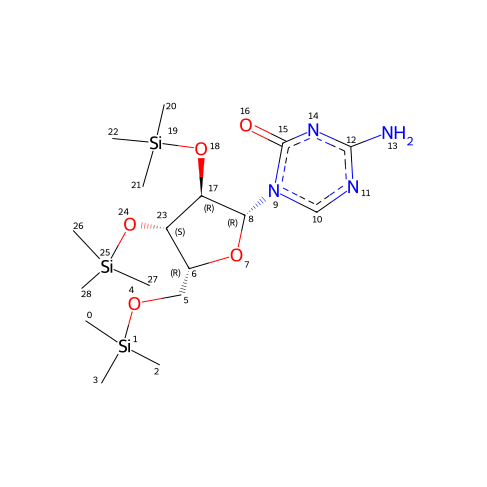 C[Si](C)(C)OC[C@H]1O[C@@H](n2cnc(N)nc2=O)[C@H](O[Si](C)(C)C)[C@H]1O[Si](C)(C)C